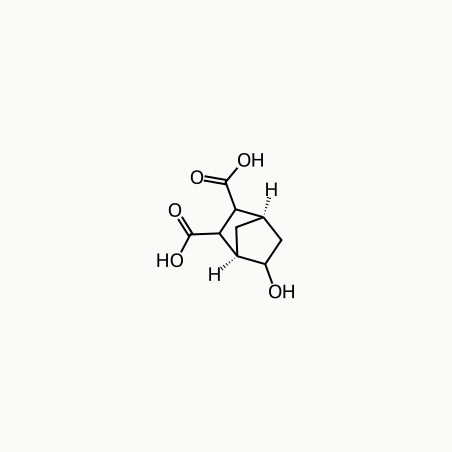 O=C(O)C1C(C(=O)O)[C@H]2C[C@@H]1CC2O